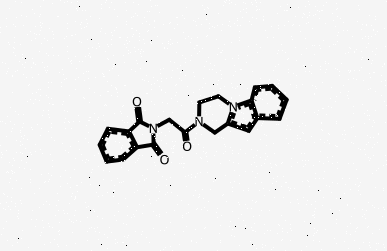 O=C(CN1C(=O)c2ccccc2C1=O)N1CCn2c(cc3ccccc32)C1